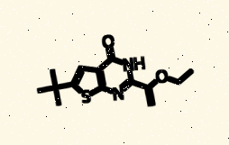 C=C(OCC)c1nc2sc(C(C)(C)C)cc2c(=O)[nH]1